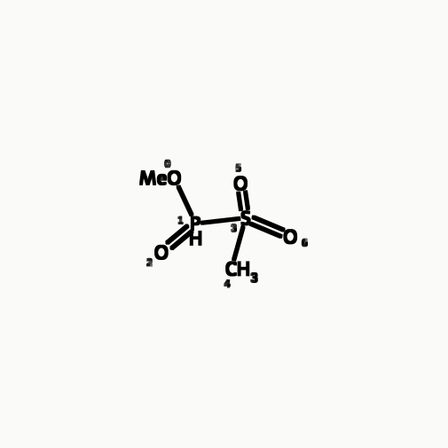 CO[PH](=O)S(C)(=O)=O